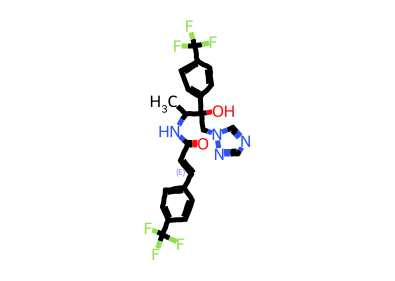 CC(NC(=O)/C=C/c1ccc(C(F)(F)F)cc1)C(O)(Cn1cncn1)c1ccc(C(F)(F)F)cc1